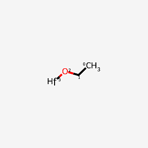 CC[O][Hf]